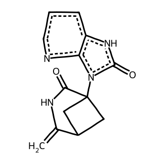 C=C1NC(=O)C2(n3c(=O)[nH]c4cccnc43)CC1C2